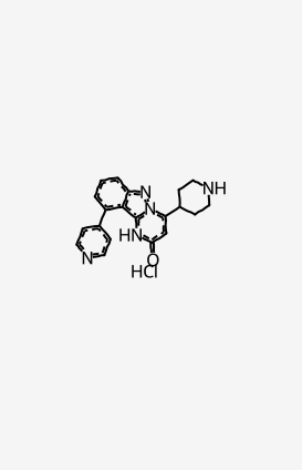 Cl.O=c1cc(C2CCNCC2)n2nc3cccc(-c4ccncc4)c3c2[nH]1